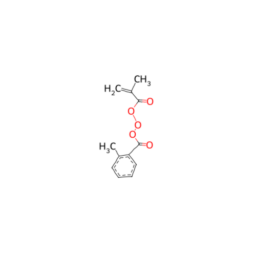 C=C(C)C(=O)OOOC(=O)c1ccccc1C